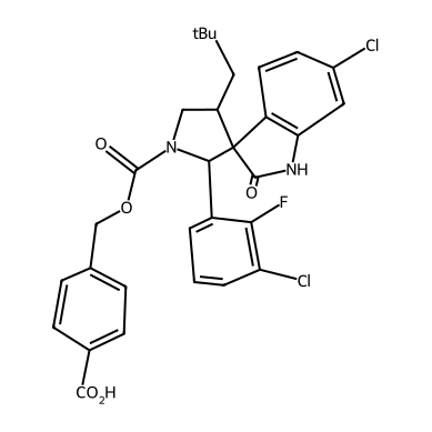 CC(C)(C)CC1CN(C(=O)OCc2ccc(C(=O)O)cc2)C(c2cccc(Cl)c2F)C12C(=O)Nc1cc(Cl)ccc12